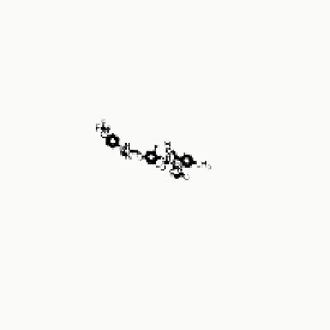 CCCc1ccc(C)cc1N1C(=O)CSC1NC(=O)Nc1c(F)cc(OCc2ncn(-c3ccc(OC(F)(F)F)cc3)n2)cc1F